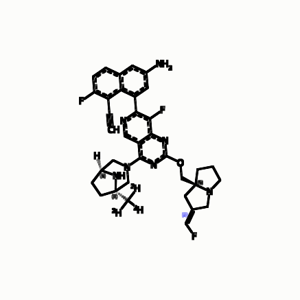 [2H]C([2H])([2H])[C@@]12CC[C@@H](CN(c3nc(OC[C@@]45CCCN4C/C(=C\F)C5)nc4c(F)c(-c5cc(N)cc6ccc(F)c(C#C)c56)ncc34)C1)N2